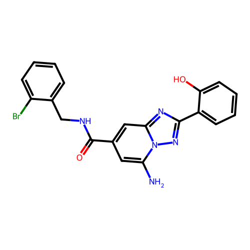 Nc1cc(C(=O)NCc2ccccc2Br)cc2nc(-c3ccccc3O)nn12